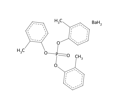 Cc1ccccc1OP(=O)(Oc1ccccc1C)Oc1ccccc1C.[BaH2]